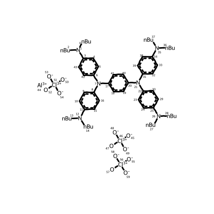 CCCCN(CCCC)c1ccc(N(c2ccc(N(CCCC)CCCC)cc2)c2ccc(N(c3ccc(N(CCCC)CCCC)cc3)c3ccc(N(CCCC)CCCC)cc3)cc2)cc1.[Al+3].[O-][Cl+3]([O-])([O-])[O-].[O-][Cl+3]([O-])([O-])[O-].[O-][Cl+3]([O-])([O-])[O-]